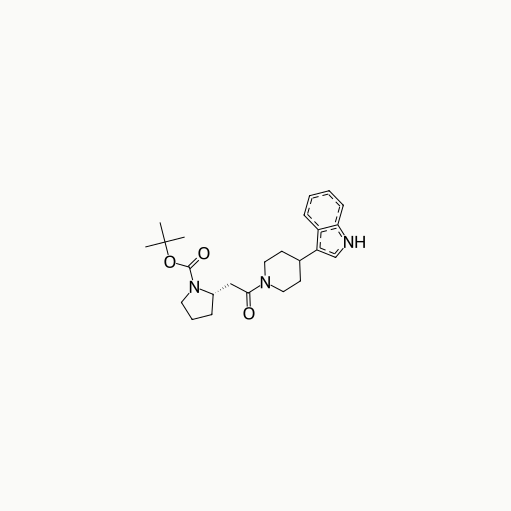 CC(C)(C)OC(=O)N1CCC[C@H]1CC(=O)N1CCC(c2c[nH]c3ccccc23)CC1